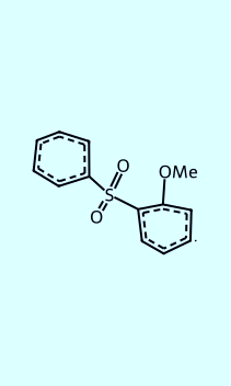 COc1c[c]ccc1S(=O)(=O)c1ccccc1